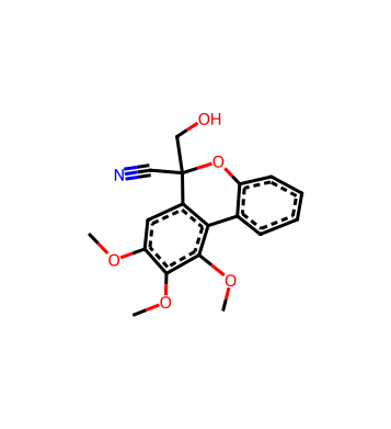 COc1cc2c(c(OC)c1OC)-c1ccccc1OC2(C#N)CO